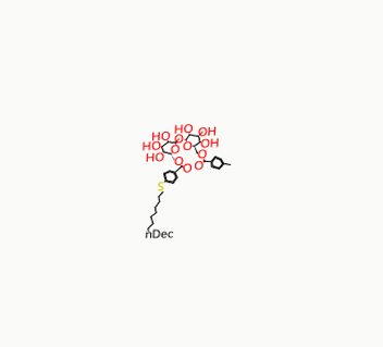 CCCCCCCCCCCCCCCCCCSc1ccc(C(=O)OC[C@H]2O[C@H](O[C@H]3O[C@H](COC(=O)c4ccc(C)cc4)[C@@H](O)[C@H](O)[C@H]3O)[C@H](O)[C@@H](O)[C@@H]2O)cc1